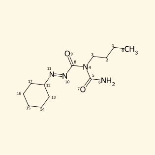 CCCCN(C(N)=O)C(=O)N=NC1CCCCC1